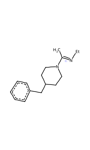 CC/N=C(\C)N1CCC(Cc2ccccc2)CC1